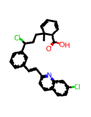 CC1(CCC(Cl)c2cccc(/C=C/c3ccc4ccc(Cl)cc4n3)c2)C=CC=CC1C(=O)O